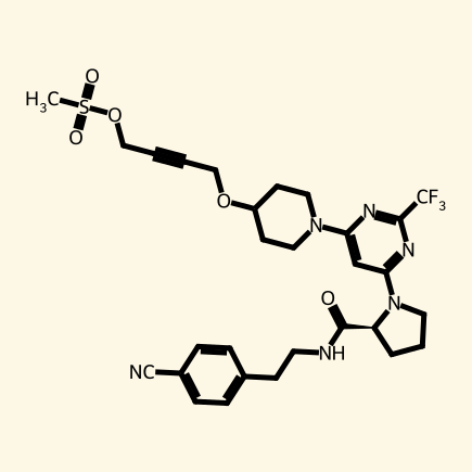 CS(=O)(=O)OCC#CCOC1CCN(c2cc(N3CCC[C@H]3C(=O)NCCc3ccc(C#N)cc3)nc(C(F)(F)F)n2)CC1